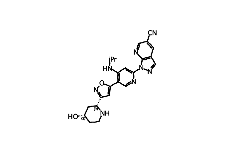 CC(C)Nc1cc(-n2ncc3cc(C#N)cnc32)ncc1-c1cc([C@H]2C[C@@H](O)CCN2)no1